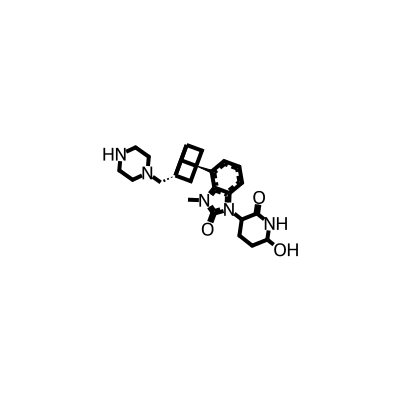 Cn1c(=O)n(C2CCC(O)NC2=O)c2cccc([C@]34CC5C3[C@]5(CN3CCNCC3)C4)c21